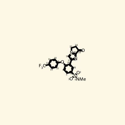 CNS(=O)(=O)c1ccc(Oc2ccc(C(F)(F)F)cc2)c(-c2cn3c(n2)C(=O)CC3)c1